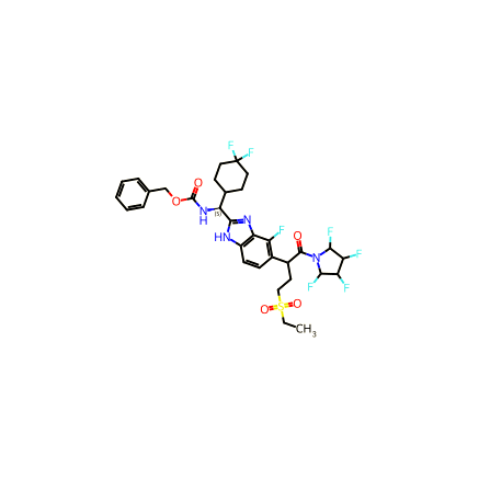 CCS(=O)(=O)CCC(C(=O)N1C(F)C(F)C(F)C1F)c1ccc2[nH]c([C@@H](NC(=O)OCc3ccccc3)C3CCC(F)(F)CC3)nc2c1F